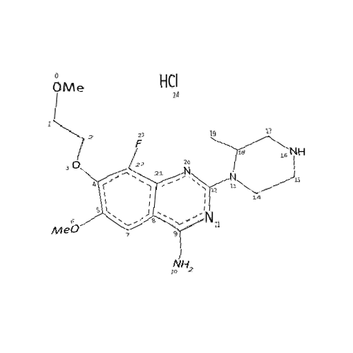 COCCOc1c(OC)cc2c(N)nc(N3CCNCC3C)nc2c1F.Cl